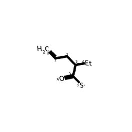 C=CCC(CC)C(=O)[S]